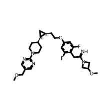 COCc1cnc(N2CCC([C@H]3C[C@H]3CCOc3cc(F)c(CC(=N)N4CC(OC)C4)c(F)c3)CC2)nc1